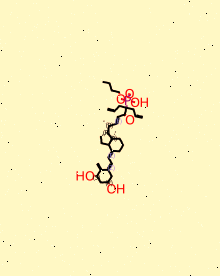 C=CCC(CC=C)(C(=O)/C=C/[C@@H](C)[C@H]1CCC2/C(=C/C=C3/C[C@@H](O)C[C@H](O)C3=C)CCC[C@@]21C)P(=O)(O)OCCCC